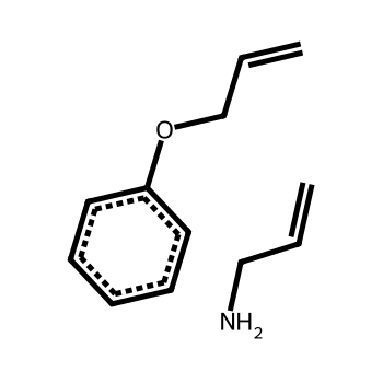 C=CCN.C=CCOc1ccccc1